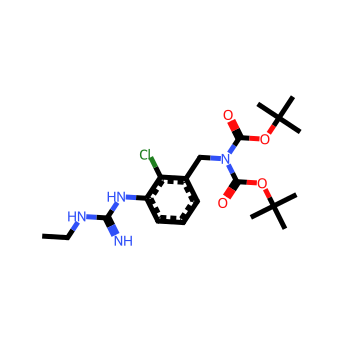 CCNC(=N)Nc1cccc(CN(C(=O)OC(C)(C)C)C(=O)OC(C)(C)C)c1Cl